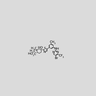 Cc1cc(Nc2ncc(Br)c(C(F)(F)F)n2)cc(-c2cnc([C@@]3(O)CC[C@H](C(=O)O)C(C)(C)C3)s2)c1